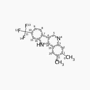 Cc1cc2ncc3c4ccc(C(F)(F)F)cc4[nH]c3c2cc1C